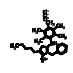 CCCCCC1=[C]([Ti+3])C(Cc2ccccc2)=C([SiH2]c2c(C)c(C)c(C)c(C)c2C)C1.[Cl-].[Cl-].[Cl-]